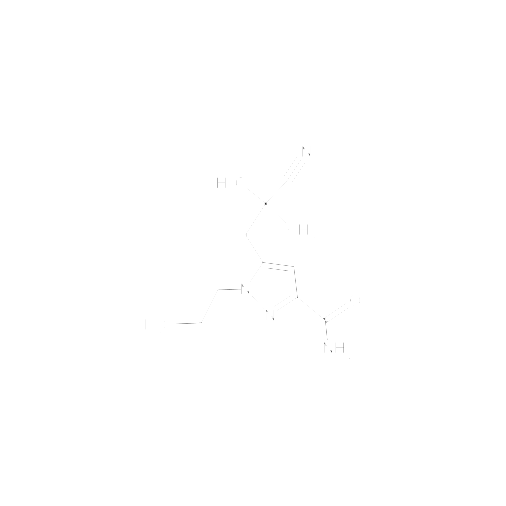 CCCn1nc(C(N)=O)cc1CC(C)(C)C#N